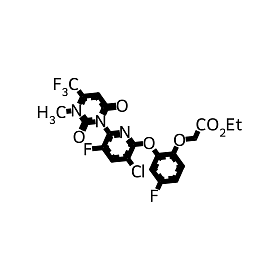 CCOC(=O)COc1ccc(F)cc1Oc1nc(-n2c(=O)cc(C(F)(F)F)n(C)c2=O)c(F)cc1Cl